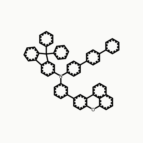 c1ccc(-c2ccc(-c3ccc(N(c4cccc(-c5ccc6c(c5)-c5cccc7cccc(c57)O6)c4)c4ccc5c(c4)C(c4ccccc4)(c4ccccc4)c4ccccc4-5)cc3)cc2)cc1